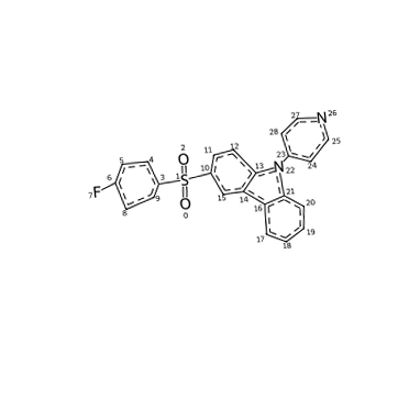 O=S(=O)(c1ccc(F)cc1)c1ccc2c(c1)c1ccccc1n2-c1ccncc1